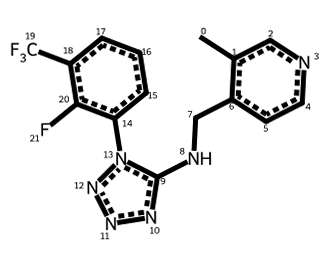 Cc1cnccc1CNc1nnnn1-c1cccc(C(F)(F)F)c1F